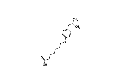 CC(C)Cc1ccc(OCCCCCCC(=O)O)cc1